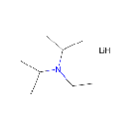 [CH2]CN(C(C)C)C(C)C.[LiH]